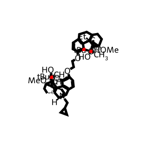 CC[C@]12c3c4ccc(OCCOc5ccc6c7c5O[C@@H]5[C@]8(OC)CC[C@@]9(C[C@@H]8C(C)(O)C(C)(C)C)[C@@H](C6)N(CC6CC6)CC[C@]759)c3O[C@@H]1[C@]1(OC)CCC2(CC4)CC1[C@](C)(O)C(C)(C)C